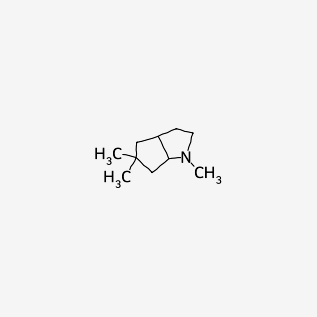 CN1CCC2CC(C)(C)CC21